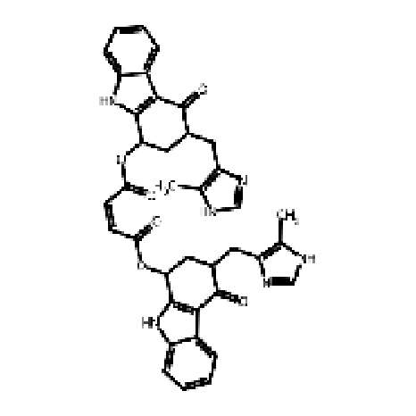 Cc1[nH]cnc1CC1CC(OC(=O)/C=C\C(=O)OC2CC(Cc3nc[nH]c3C)C(=O)c3c2[nH]c2ccccc32)c2[nH]c3ccccc3c2C1=O